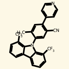 Cc1cc(-c2ccncc2)c(C#N)cc1-n1c2c(C(F)(F)F)cccc2c2cccc(C(F)(F)F)c21